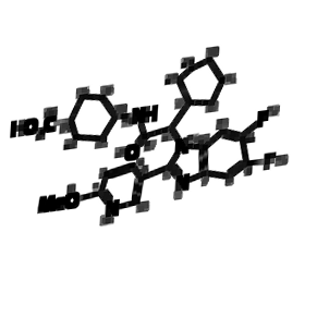 COc1ccc(-c2nc3cc(F)c(F)cc3n2C(C(=O)NC2CCC(C(=O)O)CC2)C2CCCCC2)cn1